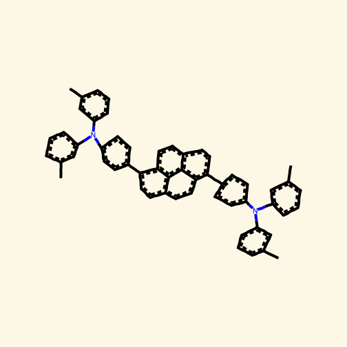 Cc1cccc(N(c2ccc(-c3ccc4ccc5c(-c6ccc(N(c7cccc(C)c7)c7cccc(C)c7)cc6)ccc6ccc3c4c65)cc2)c2cccc(C)c2)c1